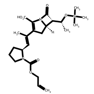 C=CCOC(=O)N1CCC[C@H]1C=C(C)C1=C(C(=O)O)N2C(=O)[C@H]([C@@H](C)O[Si](C)(C)C)[C@H]2C1